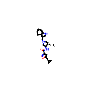 C[C@@H]1CN(Cc2c[nH]c3ccccc23)CC1NC(=O)c1cc(C2CC2)on1